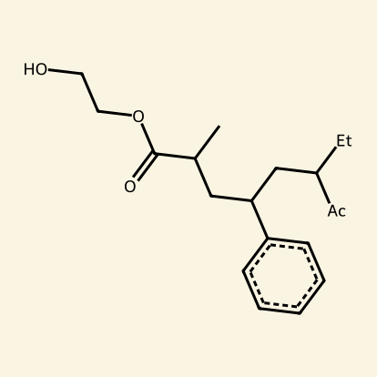 CCC(CC(CC(C)C(=O)OCCO)c1ccccc1)C(C)=O